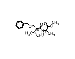 COC(=O)[C@@H](C)NC(=O)[C@@H](COCc1ccccc1)N(C)C